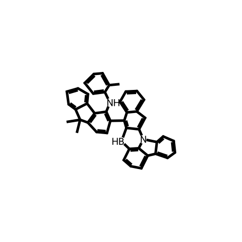 Cc1ccccc1Nc1c(-c2c3c(cc4ccccc24)-n2c4ccccc4c4cccc(c42)B3)ccc2c1-c1ccccc1C2(C)C